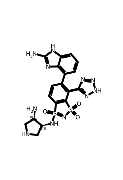 Nc1nc2c(-c3ccc4c(c3-c3nn[nH]n3)S(=O)(=O)N=S4(=O)N[C@H]3CNC[C@H]3N)cccc2[nH]1